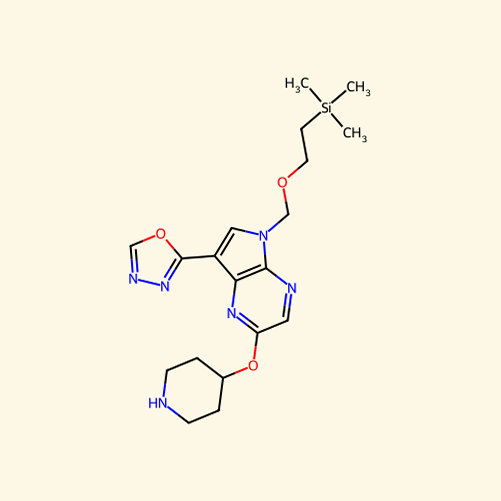 C[Si](C)(C)CCOCn1cc(-c2nnco2)c2nc(OC3CCNCC3)cnc21